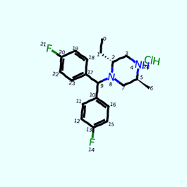 CC[C@@H]1CN[C@@H](C)CN1C(c1ccc(F)cc1)c1ccc(F)cc1.Cl